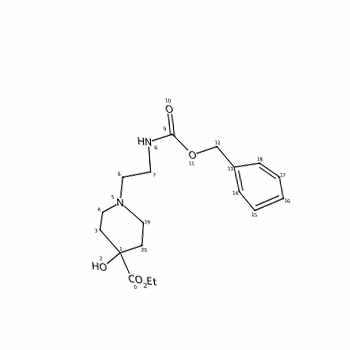 CCOC(=O)C1(O)CCN(CCNC(=O)OCc2ccccc2)CC1